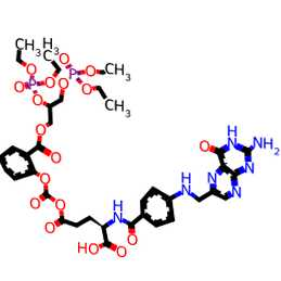 CCOP(=O)(OCC)OCC(COC(=O)c1ccccc1OC(=O)OC(=O)CC[C@@H](NC(=O)c1ccc(NCc2cnc3nc(N)[nH]c(=O)c3n2)cc1)C(=O)O)OP(=O)(OCC)OCC